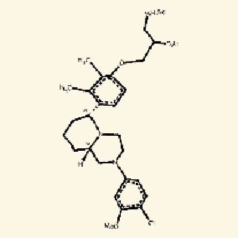 COc1cc(N2CCN3[C@@H](CCC[C@@H]3c3ccc(OCC(CNC(C)=O)OC(C)=O)c(C)c3C)C2)ccc1Cl